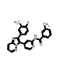 Cc1cccc(C(=O)Nc2cc(-c3c(-c4ccc(F)c(C)c4)nc4cccnn34)ccn2)c1